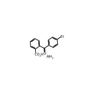 CCc1ccc(C(=O)c2ccccc2C(=O)O)cc1.[AlH3]